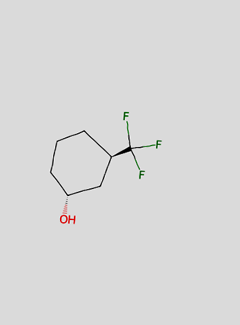 O[C@@H]1CCC[C@@H](C(F)(F)F)C1